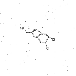 OCc1ccc2cc(Cl)c(Cl)cc2c1